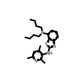 CCCCN(CCCC)c1cccc2nc(Nc3c(C)cc(C)nc3C)sc12